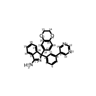 NC1=NC(c2cccc(-c3cncnc3)c2)(c2ccc3c(c2)OCCO3)c2ccccc21